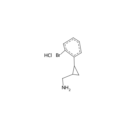 Cl.NCC1CC1c1ccccc1Br